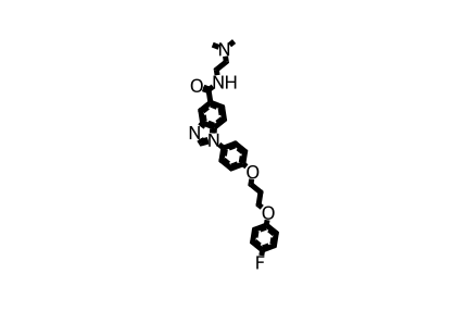 CN(C)CCNC(=O)c1ccc2c(c1)ncn2-c1ccc(OCCCOc2ccc(F)cc2)cc1